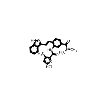 Cc1ccsc1C(=O)Nc1cc(C(=O)N(C)C)ccc1C=Cc1n[nH]c2ccccc12.Cl